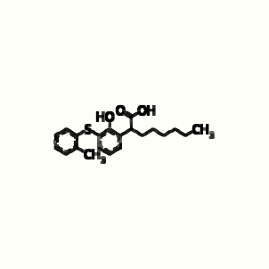 CCCCCCC(C(=O)O)c1cccc(Sc2ccccc2C)c1O